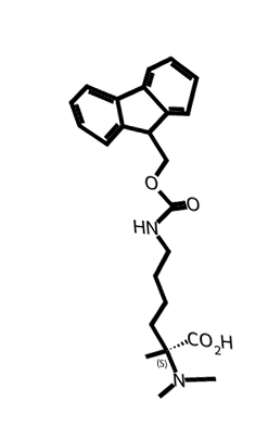 CN(C)[C@@](C)(CCCCNC(=O)OCC1c2ccccc2-c2ccccc21)C(=O)O